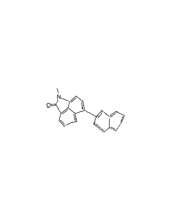 CN1C(=O)c2cccc3c(-c4ccc5ccccc5c4)ccc1c23